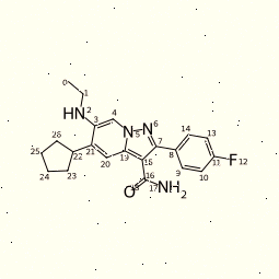 CCNc1cn2nc(-c3ccc(F)cc3)c(C(N)=O)c2cc1C1CCCC1